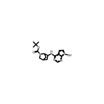 CC(C)(C)OC(=O)N1CC2CC(Nc3ncnc4c3ccn4S)C1C2